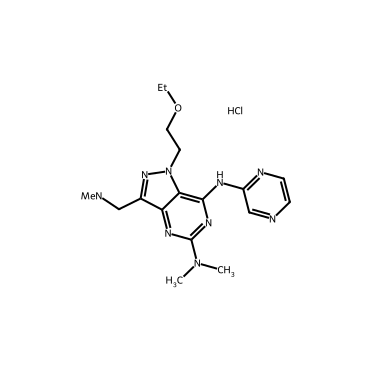 CCOCCn1nc(CNC)c2nc(N(C)C)nc(Nc3cnccn3)c21.Cl